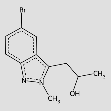 CC(O)Cc1c2cc(Br)ccc2nn1C